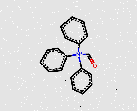 O=C[N+](c1ccccc1)(c1ccccc1)c1ccccc1